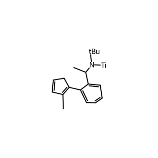 CC1=C(c2ccccc2C(C)[N]([Ti])C(C)(C)C)CC=C1